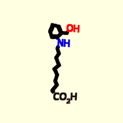 O=C(O)CCCCCCCCCNc1ccccc1CO